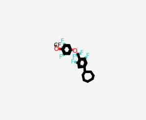 Fc1cc(OC(F)(F)c2c(F)cc(C3CCCCCC3)cc2F)cc(F)c1OC(F)(F)F